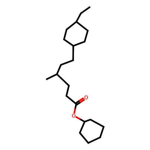 CCC1CCC(CCC(C)CCC(=O)OC2CCCCC2)CC1